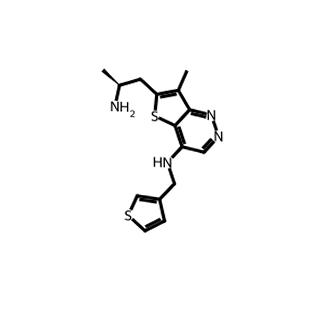 Cc1c(C[C@H](C)N)sc2c(NCc3ccsc3)cnnc12